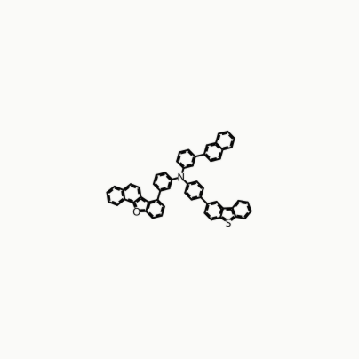 c1cc(-c2ccc3ccccc3c2)cc(N(c2ccc(-c3ccc4sc5ccccc5c4c3)cc2)c2cccc(-c3cccc4oc5c6ccccc6ccc5c34)c2)c1